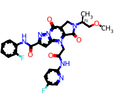 COC[C@H](C)N1Cc2c(n(CC(=O)Nc3ccc(F)cn3)c3cc(C(=O)Nc4ccccc4F)nn3c2=O)C1=O